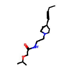 CCC#CC1CCN(CCNC(=O)COC(C)C)CC1